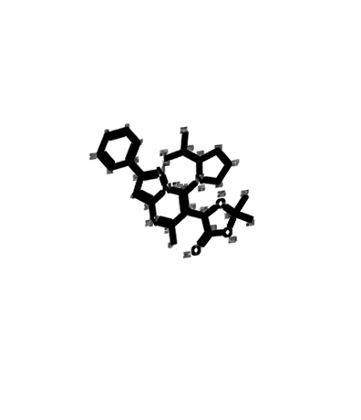 Cc1nc2cc(-c3ccccc3)nn2c(N2CCCC2C(C)C)c1C1OC(C)(C)OC1=O